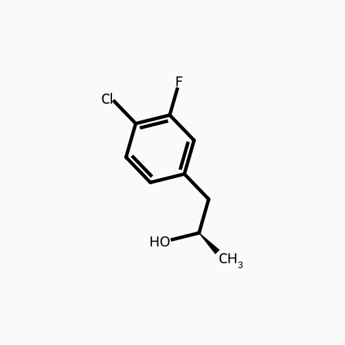 C[C@@H](O)Cc1ccc(Cl)c(F)c1